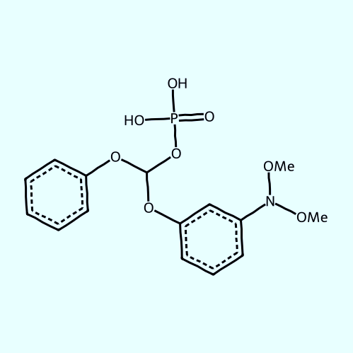 CON(OC)c1cccc(OC(Oc2ccccc2)OP(=O)(O)O)c1